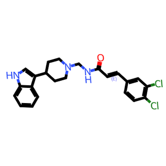 O=C(/C=C/c1ccc(Cl)c(Cl)c1)NCN1CCC(c2c[nH]c3ccccc23)CC1